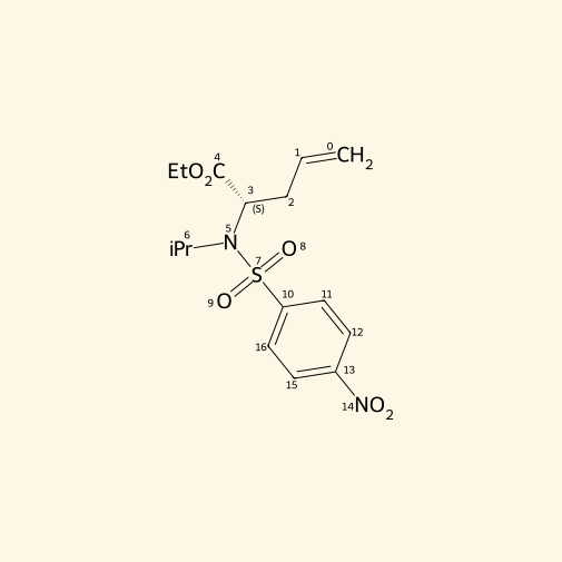 C=CC[C@@H](C(=O)OCC)N(C(C)C)S(=O)(=O)c1ccc([N+](=O)[O-])cc1